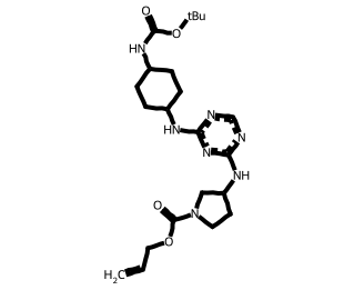 C=CCOC(=O)N1CCC(Nc2ncnc(NC3CCC(NC(=O)OC(C)(C)C)CC3)n2)C1